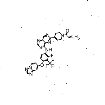 C=CC(=O)N1CC=C(c2ncc3ncnc(Nc4ccc(Oc5ccn6ncnc6c5)c(C(F)(F)F)c4F)c3n2)CC1